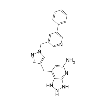 Nc1cc(Cc2cnn(Cc3cncc(-c4ccccc4)c3)c2)c2c(n1)NNN2